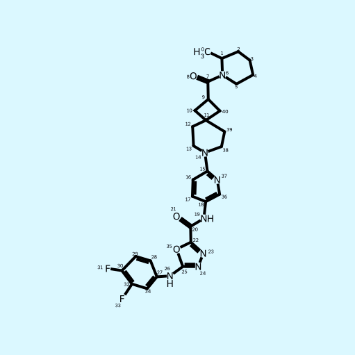 CC1CCCCN1C(=O)C1CC2(CCN(c3ccc(NC(=O)c4nnc(Nc5ccc(F)c(F)c5)o4)cn3)CC2)C1